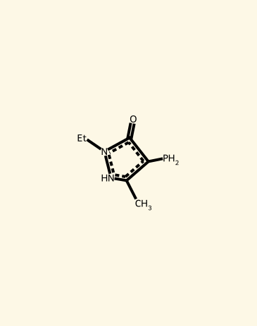 CCn1[nH]c(C)c(P)c1=O